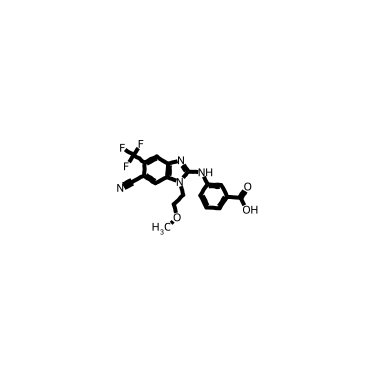 COCCn1c(Nc2cccc(C(=O)O)c2)nc2cc(C(F)(F)F)c(C#N)cc21